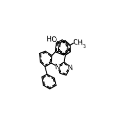 Cc1cc(O)cc(-c2nccn2-c2c(-c3ccccc3)cccc2-c2ccccc2)c1